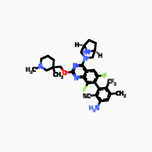 Cc1cc(N)c(C#N)c(-c2c(F)cc3c(N4C[C@H]5CC[C@@H](C4)N5)nc(OCC4(C)CCCN(C)C4)nc3c2F)c1C(F)(F)F